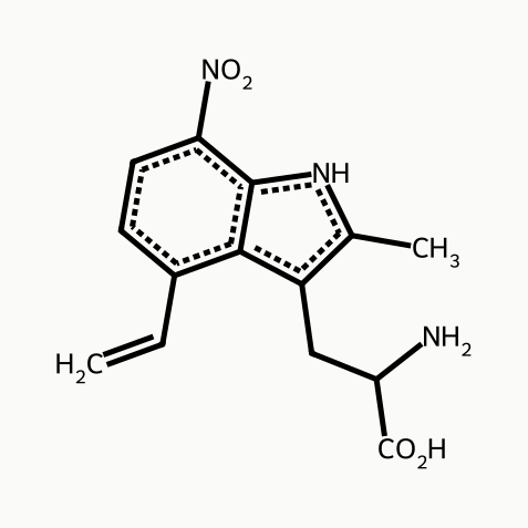 C=Cc1ccc([N+](=O)[O-])c2[nH]c(C)c(CC(N)C(=O)O)c12